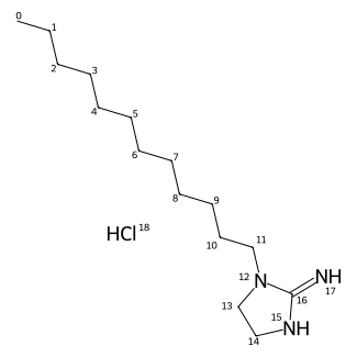 CCCCCCCCCCCCN1CCNC1=N.Cl